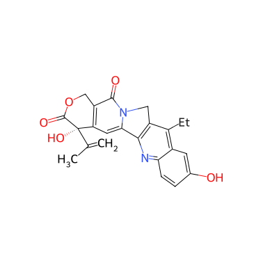 C=C(C)[C@@]1(O)C(=O)OCc2c1cc1n(c2=O)Cc2c-1nc1ccc(O)cc1c2CC